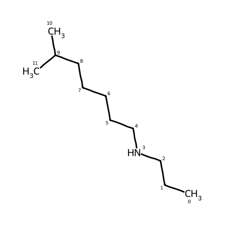 CCCNCCCCCC(C)C